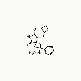 CN[C@]1(c2ccccc2)C[C@]2(C1)C(=O)NC(=O)N2CC1CCC1